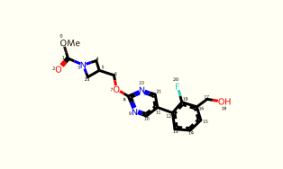 COC(=O)N1CC(COc2ncc(-c3cccc(CO)c3F)cn2)C1